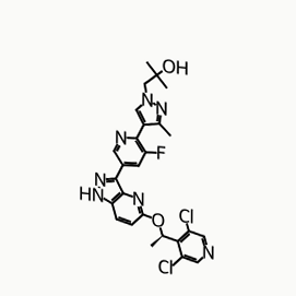 Cc1nn(CC(C)(C)O)cc1-c1ncc(-c2n[nH]c3ccc(O[C@H](C)c4c(Cl)cncc4Cl)nc23)cc1F